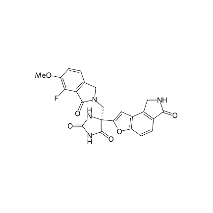 COc1ccc2c(c1F)C(=O)N(C[C@@]1(c3cc4c5c(ccc4o3)C(=O)NC5)NC(=O)NC1=O)C2